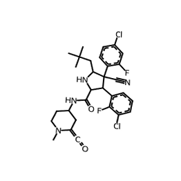 CN1CCC(NC(=O)C2NC(CC(C)(C)C)C(C#N)(c3ccc(Cl)cc3F)C2c2cccc(Cl)c2F)CC1=C=O